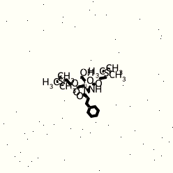 C[Si](C)(C)CCOC(=O)NN(C(=O)CCC1CCCCC1)[C@@H](CCO)C(=O)OCC[Si](C)(C)C